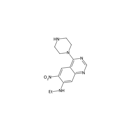 CCNc1cc2ncnc(N3CCNCC3)c2cc1[N+](=O)[O-]